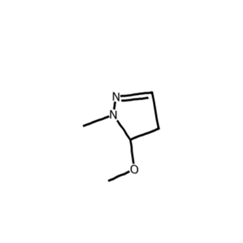 COC1CC=NN1C